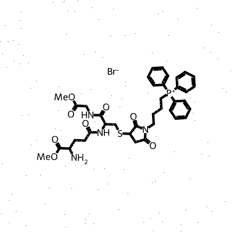 COC(=O)CNC(=O)C(CSC1CC(=O)N(CCCC[P+](c2ccccc2)(c2ccccc2)c2ccccc2)C1=O)NC(=O)CCC(N)C(=O)OC.[Br-]